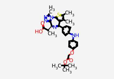 Cc1sc2c(c1C)C(c1ccc(Nc3ccc(OCC(=O)OC(C)(C)C)cc3)cc1)=N[C@@H](C(C)C(=O)O)c1nnc(C)n1-2